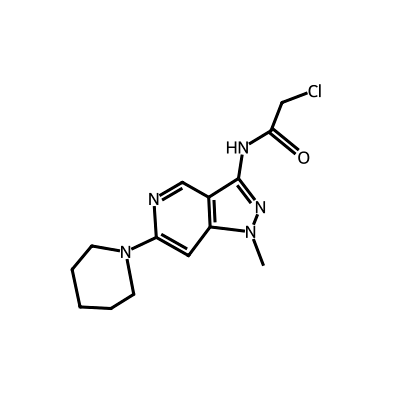 Cn1nc(NC(=O)CCl)c2cnc(N3CCCCC3)cc21